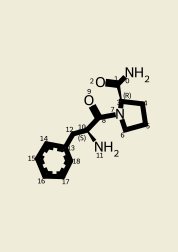 NC(=O)[C@H]1CCCN1C(=O)[C@@H](N)Cc1ccccc1